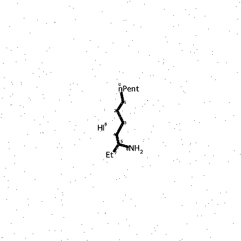 CCCCCCCCCC(N)CC.I